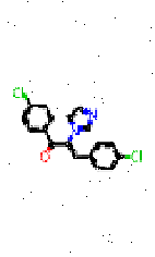 O=C(C(=Cc1ccc(Cl)cc1)n1ccnc1)c1ccc(Cl)cc1